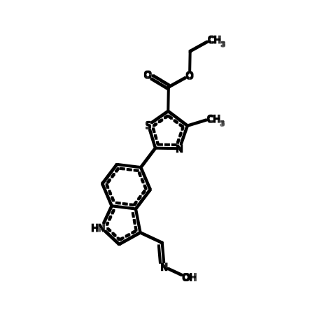 CCOC(=O)c1sc(-c2ccc3[nH]cc(/C=N/O)c3c2)nc1C